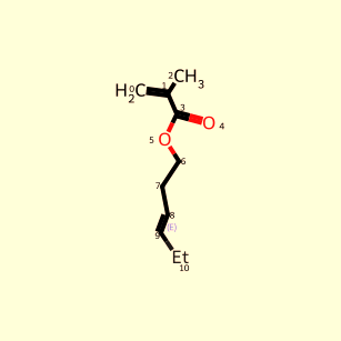 C=C(C)C(=O)OCC/C=C/CC